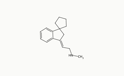 CNCC=C1CC2(CCCC2)c2ccccc21